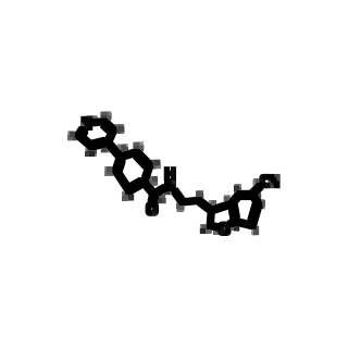 N#Cc1ccc2c(c1)C(CCNC(=O)c1ccc(-c3ccncc3)cc1)CO2